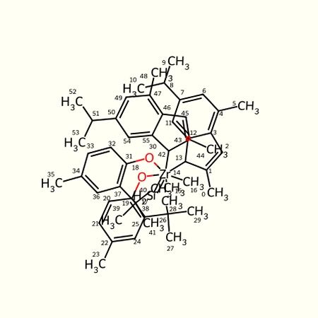 CC1=Cc2c(C)cc(C(C)C)cc2[CH]1[Zr]([CH3])([CH3])(=[SiH2])([O]c1ccc(C)cc1C(C)(C)C)([O]c1ccc(C)cc1C(C)(C)C)[CH]1C(C)=Cc2c(C)cc(C(C)C)cc21